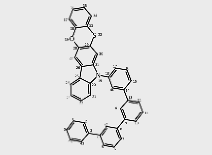 c1ccc(-c2cccc(-c3cccc(-c4cccc(-n5c6ccccc6c6cc7c(cc65)Sc5ccccc5O7)c4)c3)c2)cc1